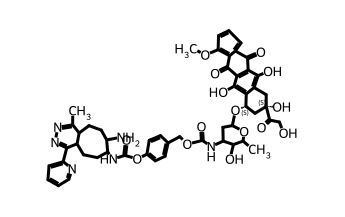 COc1cccc2c1C(=O)c1c(O)c3c(c(O)c1C2=O)C[C@@](O)(C(=O)CO)C[C@@H]3OC1CC(NC(=O)OCc2ccc(OC(=O)NC3CCC4C(c5ccccn5)=NN=C(C)C4CCC3N)cc2)C(O)C(C)O1